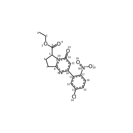 CCOC(=O)C1CCc2nc(-c3cc(Cl)ccc3[N+](=O)[O-])cc(=O)n21